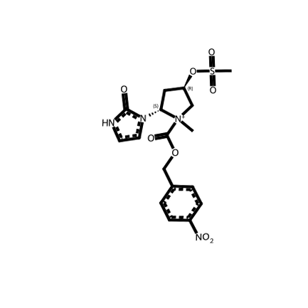 C[N+]1(C(=O)OCc2ccc([N+](=O)[O-])cc2)C[C@H](OS(C)(=O)=O)C[C@H]1n1cc[nH]c1=O